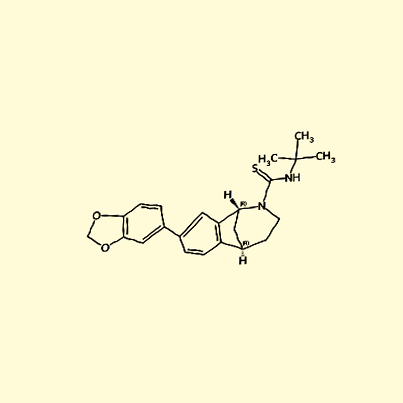 CC(C)(C)NC(=S)N1CC[C@@H]2C[C@@H]1c1cc(-c3ccc4c(c3)OCO4)ccc12